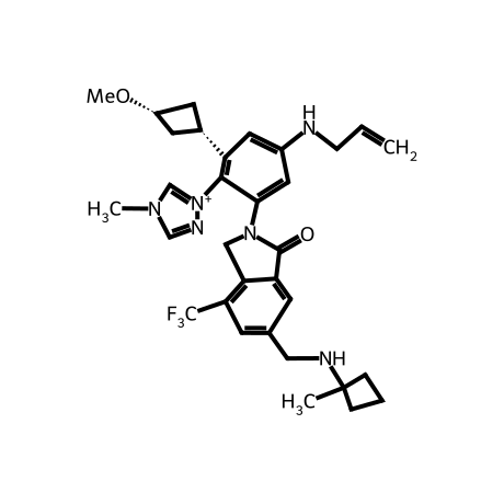 C=CCNc1cc(N2Cc3c(cc(CNC4(C)CCC4)cc3C(F)(F)F)C2=O)c(-[n+]2cn(C)cn2)c([C@H]2C[C@@H](OC)C2)c1